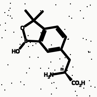 CC1(C)OB(O)c2cc(C[C@H](N)C(=O)O)ccc21